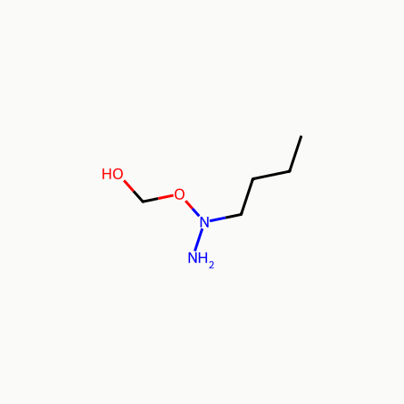 CCCCN(N)OCO